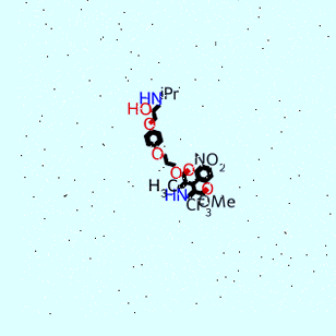 COC(=O)C1=C(C(F)(F)F)NC(C)=C(C(=O)OCCCOc2ccc(OCC(O)CNC(C)C)cc2)C1c1cccc([N+](=O)[O-])c1